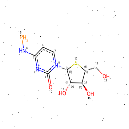 O=c1nc(NP)ccn1[C@@H]1S[C@H](CO)[C@@H](O)[C@@H]1O